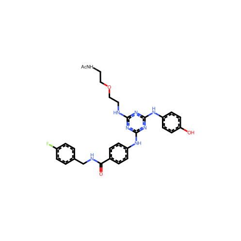 CC(=O)NCCOCCNc1nc(Nc2ccc(O)cc2)nc(Nc2ccc(C(=O)NCc3ccc(F)cc3)cc2)n1